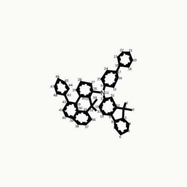 CC1(C)c2ccccc2-c2ccc(N(c3ccc(-c4ccccc4)cc3)c3cccc4c3C(C)(C)c3cccc5ccc(-c6ccccc6)c-4c35)cc21